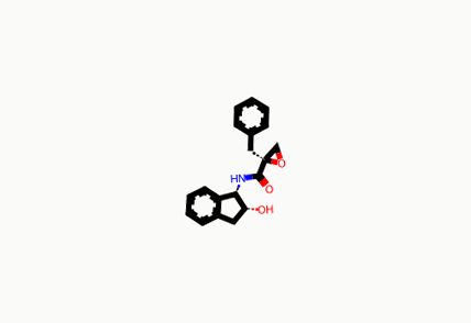 O=C(N[C@H]1c2ccccc2C[C@H]1O)[C@@]1(Cc2ccccc2)CO1